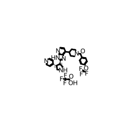 O=C(O)C(F)(F)F.O=C(c1ccc(OC(F)(F)F)cc1)N1CCC(c2ccnc3[nH]c([C@H]4CNC[C@@H]4c4ccncc4)nc23)CC1